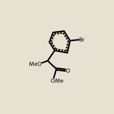 COC(=O)C(OC)c1cccc(Br)c1